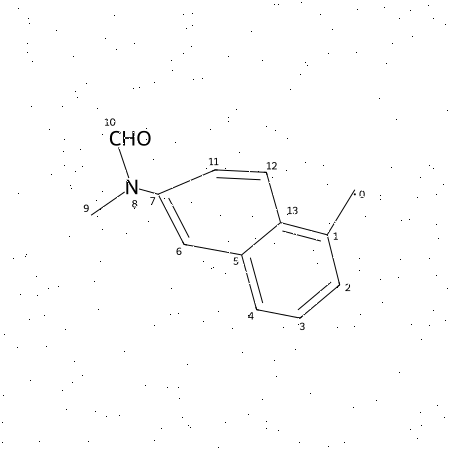 [CH2]c1cccc2cc(N(C)C=O)ccc12